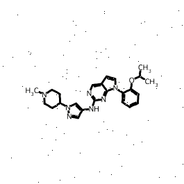 CC(C)Oc1ccccc1-n1ccc2cnc(Nc3cnn(C4CCN(C)CC4)c3)nc21